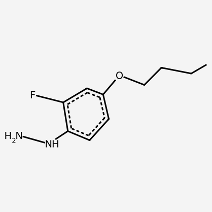 CCCCOc1ccc(NN)c(F)c1